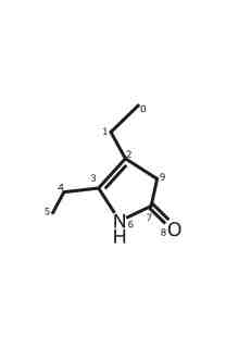 CCC1=C(CC)NC(=O)C1